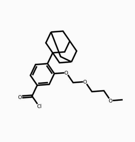 COCCOCOc1cc(C(=O)Cl)ccc1C12CC3CC(CC(C3)C1)C2